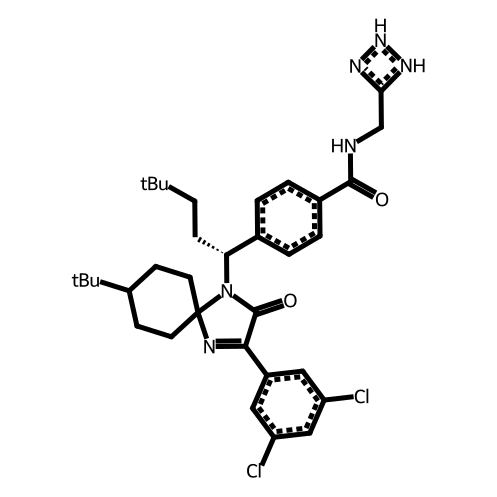 CC(C)(C)CC[C@H](c1ccc(C(=O)NCc2n[nH][nH]2)cc1)N1C(=O)C(c2cc(Cl)cc(Cl)c2)=NC12CCC(C(C)(C)C)CC2